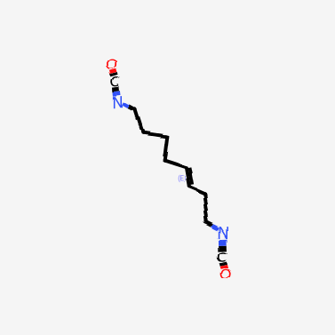 O=C=NCC/C=C/CCCCN=C=O